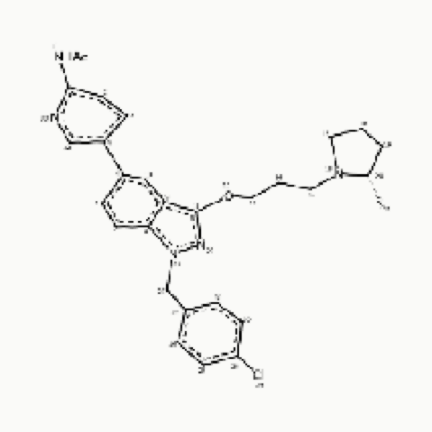 CC(=O)Nc1ccc(-c2ccc3c(c2)c(OCCCN2CCC[C@@H]2C)nn3Cc2ccc(Cl)cc2)cn1